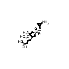 NC1CC1OS(=O)(=O)N1C[C@H](CCCB(O)O)[C@](N)(C(=O)O)C1